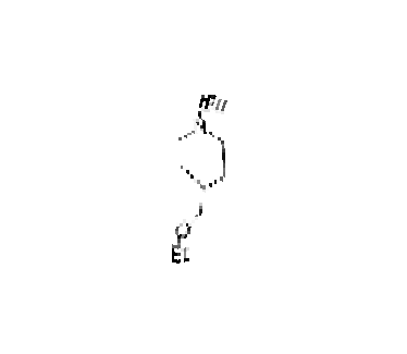 CCOCC1CCN(C(C)(C)C)CC1